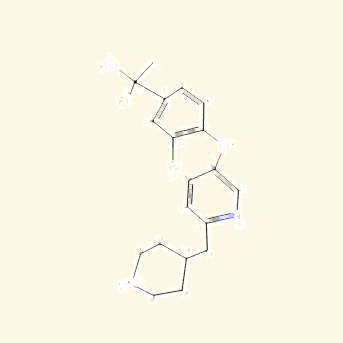 CCC(C)(O)c1ccc(Oc2ccc(CC3CCNCC3)nc2)c(Br)c1